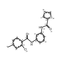 Cc1ccc(C(=O)Nc2cccc(NC(=O)c3cnco3)c2)c(Cl)c1